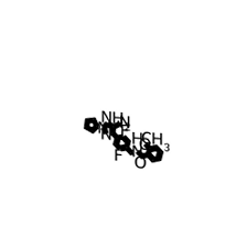 COc1ccccc1C(=O)NCc1cc(F)c(-c2nn(C3CCCC3)c(N)c2C#N)cc1F